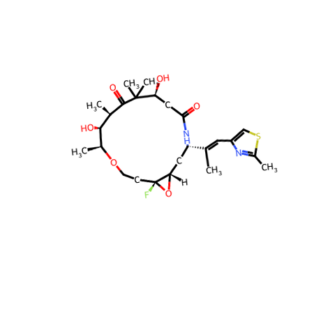 CC(=Cc1csc(C)n1)[C@@H]1C[C@@H]2O[C@]2(F)CCO[C@@H](C)[C@@H](O)[C@@H](C)C(=O)C(C)(C)[C@@H](O)CC(=O)N1